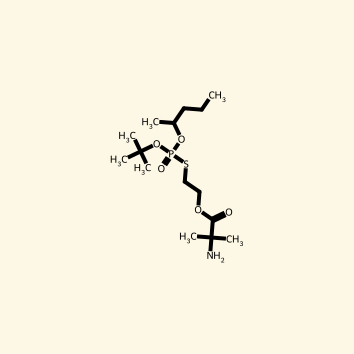 CCCC(C)OP(=O)(OC(C)(C)C)SCCOC(=O)C(C)(C)N